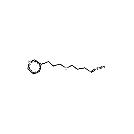 [N-]=[N+]=NCCCOCCCc1cccnc1